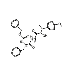 COc1ccc(C(C)C(O)C(=O)NNC(=O)[C@H](Cc2ccccc2)NC(=O)OCc2ccccc2)cc1